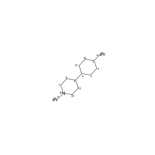 CC(C)C1CCC(C2CCN(C(C)C)CC2)CC1